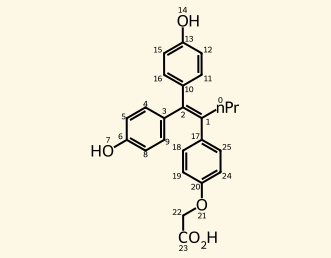 CCCC(=C(c1ccc(O)cc1)c1ccc(O)cc1)c1ccc(OCC(=O)O)cc1